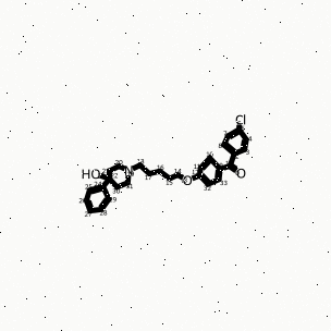 O=C(c1ccc(Cl)cc1)c1ccc(OCCCCCN2CCC(O)(c3ccccc3)CC2)cc1